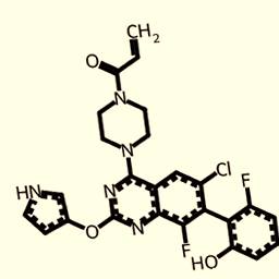 C=CC(=O)N1CCN(c2nc(Oc3cc[nH]c3)nc3c(F)c(-c4c(O)cccc4F)c(Cl)cc23)CC1